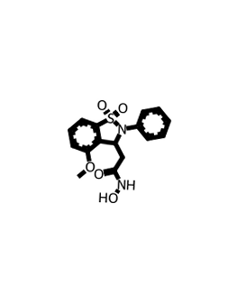 COc1cccc2c1C(CC(=O)NO)N(c1ccccc1)S2(=O)=O